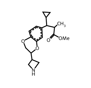 COC(=O)C(C)C(c1ccc2c(c1)OC(C1CNC1)CO2)C1CC1